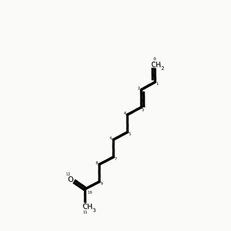 C=CC=CCCCCCCC(C)=O